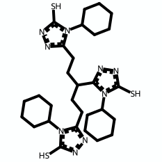 Sc1nnc(CCC(CCc2nnc(S)n2C2CCCCC2)c2nnc(S)n2C2CCCCC2)n1C1CCCCC1